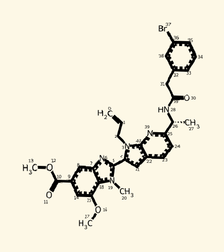 C=CCn1c(-c2nc3cc(C(=O)OC)cc(OC)c3n2C)cc2ccc([C@@H](C)NC(=O)Cc3cccc(Br)c3)nc21